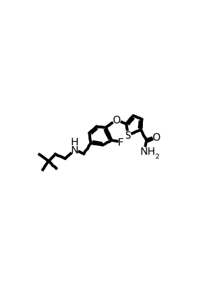 CC(C)(C)CCNCc1ccc(Oc2ccc(C(N)=O)s2)c(F)c1